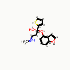 CNCC[C@@](O)(Oc1cccc2occc12)c1cccs1